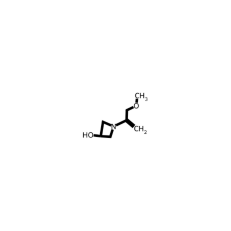 C=C(COC)N1CC(O)C1